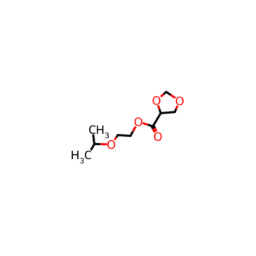 CC(C)OCCOC(=O)C1COCO1